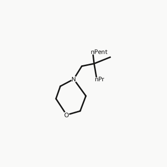 CCCCCC(C)(CCC)CN1CCOCC1